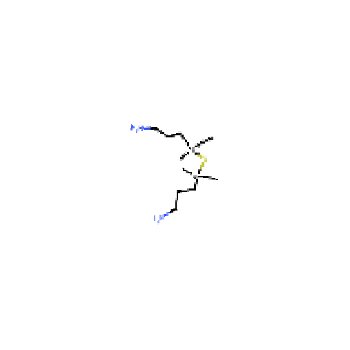 C[Si](C)(CCCN)S[Si](C)(C)CCCN